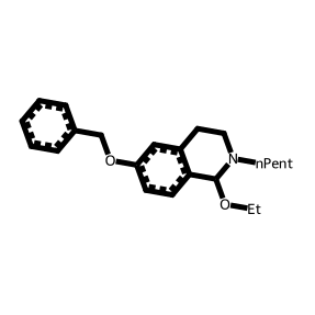 CCCCCN1CCc2cc(OCc3ccccc3)ccc2C1OCC